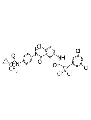 O=C(Nc1ccc(NC(=O)C2(C(F)(F)F)CC2)cc1)c1cc(NC(=O)C2C(c3cc(Cl)cc(Cl)c3)C2(Cl)Cl)ccc1Cl